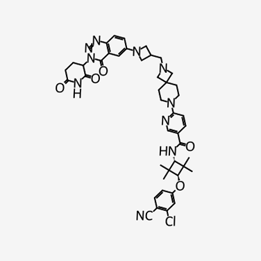 CC1(C)[C@H](NC(=O)c2ccc(N3CCC4(CC3)CN(CC3CN(c5ccc6nnn(C7CCC(=O)NC7=O)c(=O)c6c5)C3)C4)nc2)C(C)(C)[C@H]1Oc1ccc(C#N)c(Cl)c1